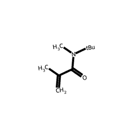 C=C(C)C(=O)N(C)C(C)(C)C